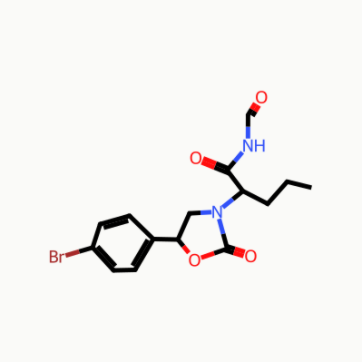 CCCC(C(=O)NC=O)N1CC(c2ccc(Br)cc2)OC1=O